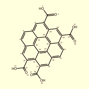 O=C(O)c1cc2ccc3cc(C(=O)O)c4c(C(=O)O)cc5ccc6c(C(=O)O)cc1c1c2c3c4c5c61